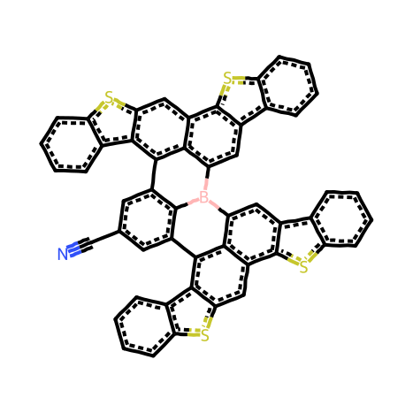 N#Cc1cc2c3c(c1)-c1c4c(cc5c6ccccc6sc5c4cc4sc5ccccc5c14)B3c1cc3c4ccccc4sc3c3cc4sc5ccccc5c4c-2c13